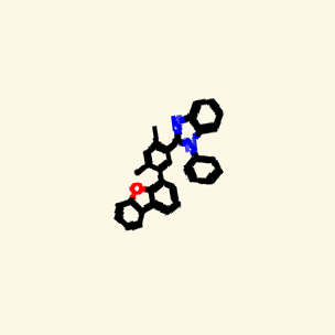 Cc1cc(C)c(-c2nc3ccccc3n2-c2ccccc2)cc1-c1cccc2c1OC1C=CC=CC21